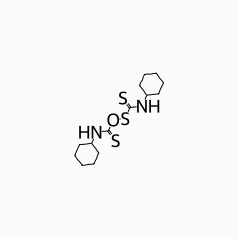 S=C(NC1CCCCC1)OSC(=S)NC1CCCCC1